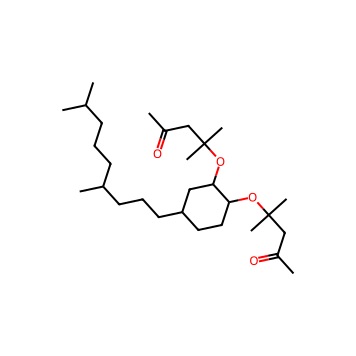 CC(=O)CC(C)(C)OC1CCC(CCCC(C)CCCC(C)C)CC1OC(C)(C)CC(C)=O